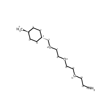 C[C@H]1CC[C@H](COCCOCCOCCN)CC1